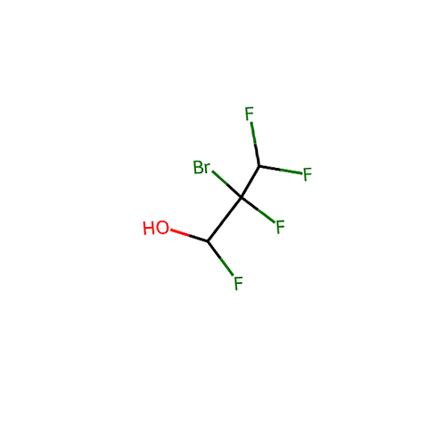 OC(F)C(F)(Br)C(F)F